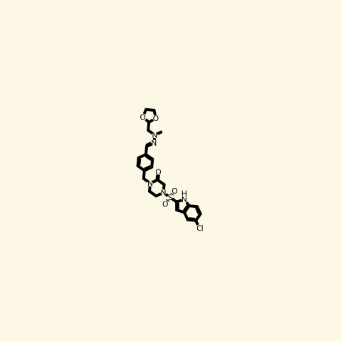 CN(CC1OCCO1)N=Cc1ccc(CN2CCN(S(=O)(=O)c3cc4cc(Cl)ccc4[nH]3)CC2=O)cc1